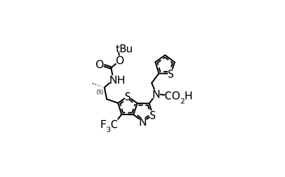 C[C@@H](Cc1sc2c(N(Cc3cccs3)C(=O)O)snc2c1C(F)(F)F)NC(=O)OC(C)(C)C